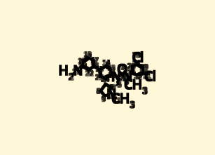 CN(C(=O)N(C[C@H]1CCCN1C)c1ccc(-c2cccc(N)c2)cc1)c1cc(Cl)cc(Cl)c1